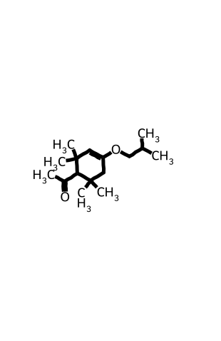 CC(=O)C1C(C)(C)C=C(OCC(C)C)CC1(C)C